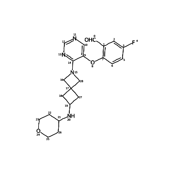 O=Cc1cc(F)ccc1Oc1cncnc1N1CC2(CC(NC3CCOCC3)C2)C1